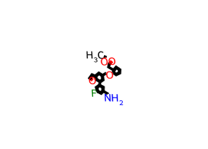 CCOC(=O)Cc1ccccc1OCc1cc(-c2cc(F)cc(CN)c2)c2occc2c1